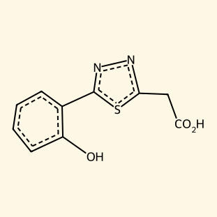 O=C(O)Cc1nnc(-c2ccccc2O)s1